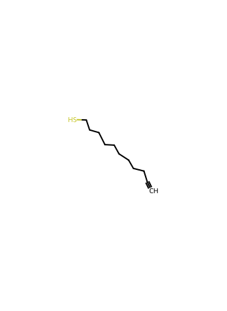 C#CCCCCCCCCCS